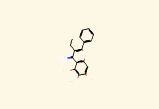 CCc1c(-c2ccccc2)oc2cc(O)c(O)c(O)c2c1=N